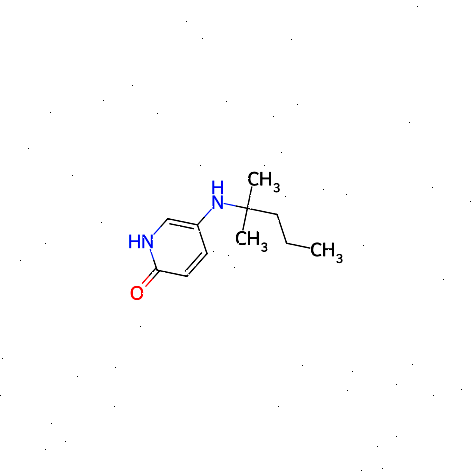 CCCC(C)(C)Nc1ccc(=O)[nH]c1